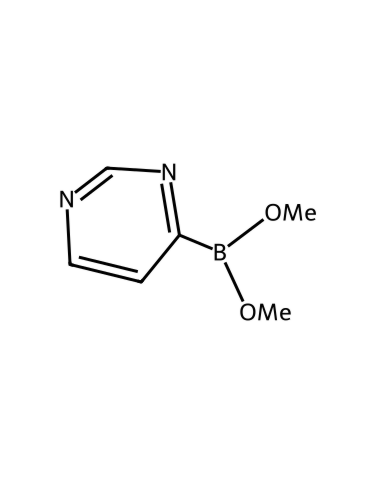 COB(OC)c1ccncn1